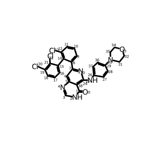 O=c1[nH]cnc2cc(-c3cccc(Cl)c3-c3cccc(Cl)c3Cl)nc(Nc3ccc(N4CCOCC4)cc3)c12